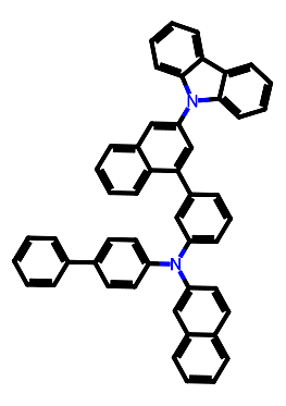 c1ccc(-c2ccc(N(c3cccc(-c4cc(-n5c6ccccc6c6ccccc65)cc5ccccc45)c3)c3ccc4ccccc4c3)cc2)cc1